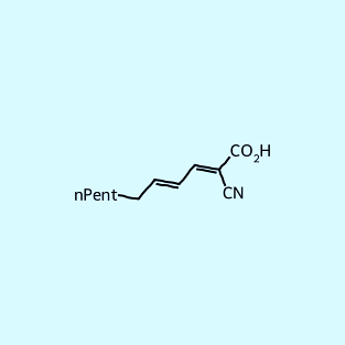 CCCCCC/C=C/C=C(\C#N)C(=O)O